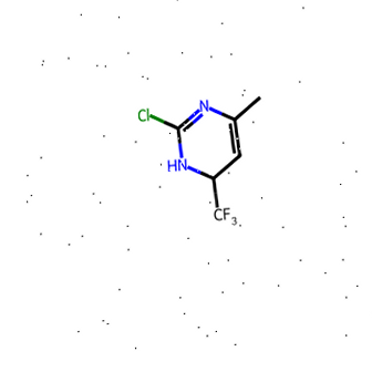 CC1=CC(C(F)(F)F)NC(Cl)=N1